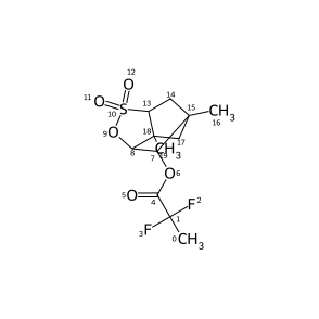 CC(F)(F)C(=O)OC1C2OS(=O)(=O)C3CC1(C)CC23C